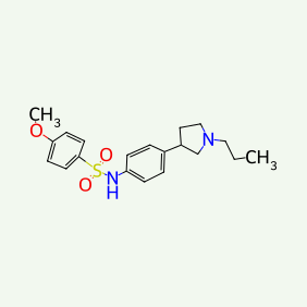 CCCN1CCC(c2ccc(NS(=O)(=O)c3ccc(OC)cc3)cc2)C1